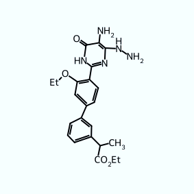 CCOC(=O)C(C)c1cccc(-c2ccc(-c3nc(NN)c(N)c(=O)[nH]3)c(OCC)c2)c1